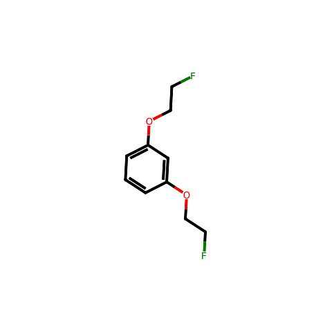 FCCOc1cccc(OCCF)c1